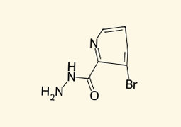 NNC(=O)c1ncccc1Br